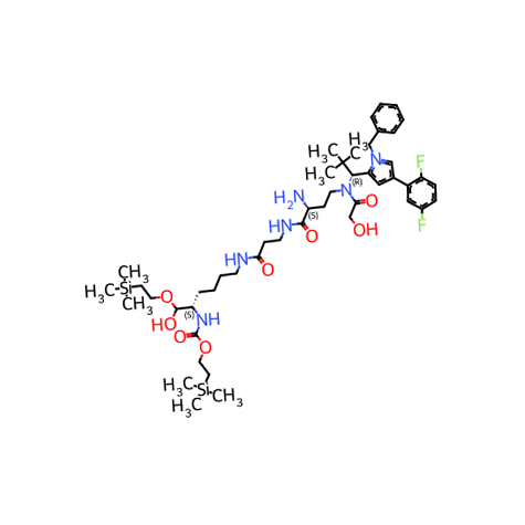 CC(C)(C)[C@H](c1cc(-c2cc(F)ccc2F)cn1Cc1ccccc1)N(CC[C@H](N)C(=O)NCCC(=O)NCCCC[C@H](NC(=O)OCC[Si](C)(C)C)C(O)OCC[Si](C)(C)C)C(=O)CO